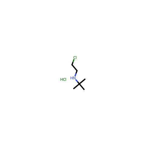 CC(C)(C)NCCCl.Cl